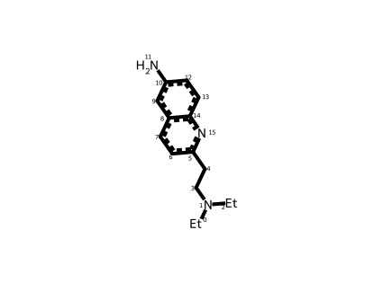 CCN(CC)CCc1ccc2cc(N)ccc2n1